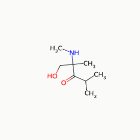 CNC(C)(CO)C(=O)C(C)C